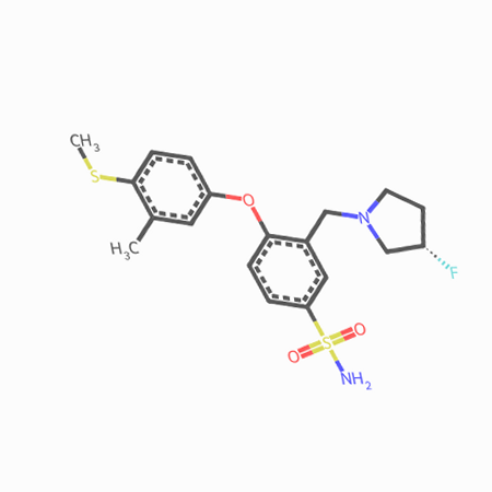 CSc1ccc(Oc2ccc(S(N)(=O)=O)cc2CN2CC[C@H](F)C2)cc1C